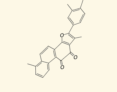 Cc1ccc(-c2oc3c(c2C)C(=O)C(=O)c2c-3ccc3c(C)cccc23)cc1C